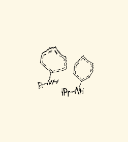 CC(C)Nc1ccccc1.CCNc1ccccc1